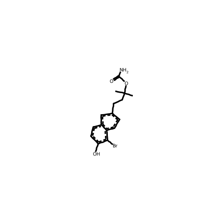 CC(C)(CCc1ccc2c(Br)c(O)ccc2c1)OC(N)=O